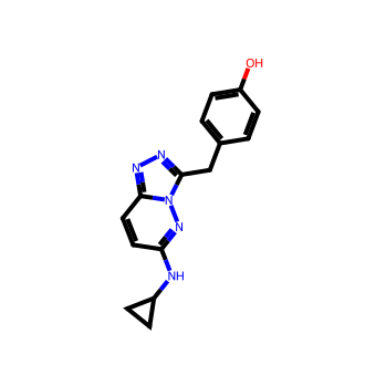 Oc1ccc(Cc2nnc3ccc(NC4CC4)nn23)cc1